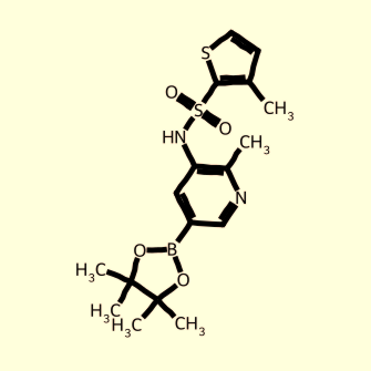 Cc1ccsc1S(=O)(=O)Nc1cc(B2OC(C)(C)C(C)(C)O2)cnc1C